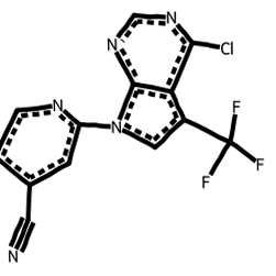 N#Cc1ccnc(-n2cc(C(F)(F)F)c3c(Cl)ncnc32)c1